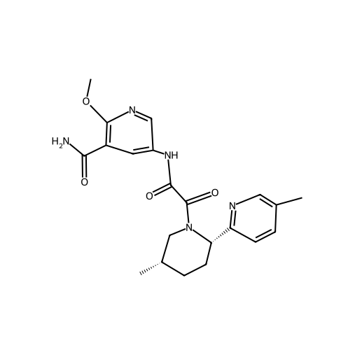 COc1ncc(NC(=O)C(=O)N2C[C@@H](C)CC[C@H]2c2ccc(C)cn2)cc1C(N)=O